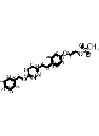 CS(=O)(=O)OCCOc1ccc(CCc2ccc(OCc3ccccc3)nn2)cc1